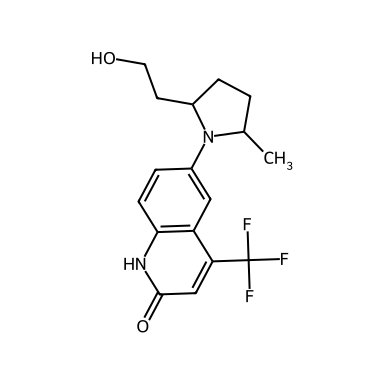 CC1CCC(CCO)N1c1ccc2[nH]c(=O)cc(C(F)(F)F)c2c1